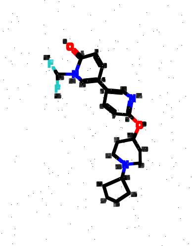 O=c1ccc(-c2ccc(OC3CCN(C4CCCC4)CC3)nc2)cn1C(F)F